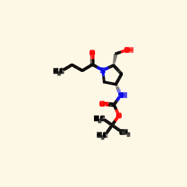 CCCC(=O)N1C[C@@H](NC(=O)OC(C)(C)C)C[C@H]1CO